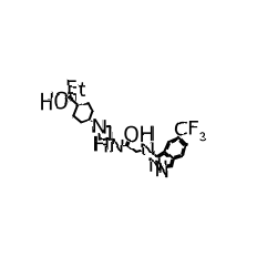 CC[C@H](O)[C@H]1CC[C@H](N2CC(NC(=O)CNc3nncc4ccc(C(F)(F)F)cc34)C2)CC1